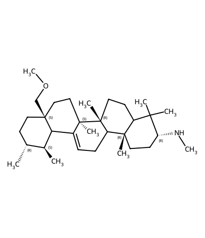 CN[C@@H]1CC[C@@]2(C)C(CC[C@]3(C)C2CC=C2C4[C@@H](C)[C@H](C)CC[C@]4(COC)CC[C@]23C)C1(C)C